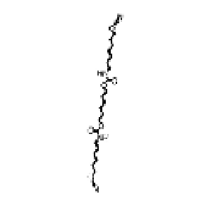 N#COCCCCCCCNC(=O)OCCCCCCOC(=O)NCCCCCCOC#N